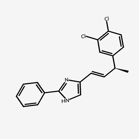 C[C@@H](C=Cc1c[nH]c(-c2ccccc2)n1)c1ccc(Cl)c(Cl)c1